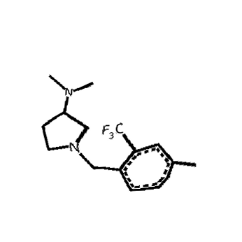 Cc1ccc(CN2CCC(N(C)C)C2)c(C(F)(F)F)c1